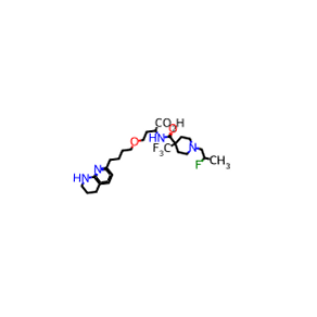 CC(F)CN1CCC(C(=O)NC(CCOCCCCc2ccc3c(n2)NCCC3)C(=O)O)(C(F)(F)F)CC1